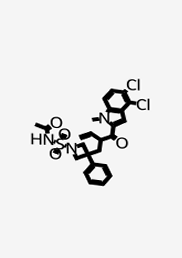 C=CC(CC1(c2ccccc2)CN(S(=O)(=O)NC(C)=O)C1)C(=O)c1cc2c(Cl)c(Cl)ccc2n1C